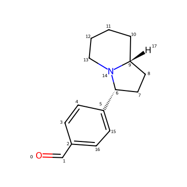 O=Cc1ccc([C@H]2CC[C@H]3CCCCN32)cc1